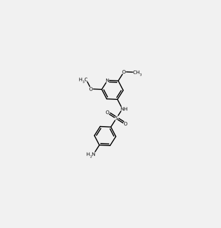 COc1cc(NS(=O)(=O)c2ccc(N)cc2)cc(OC)n1